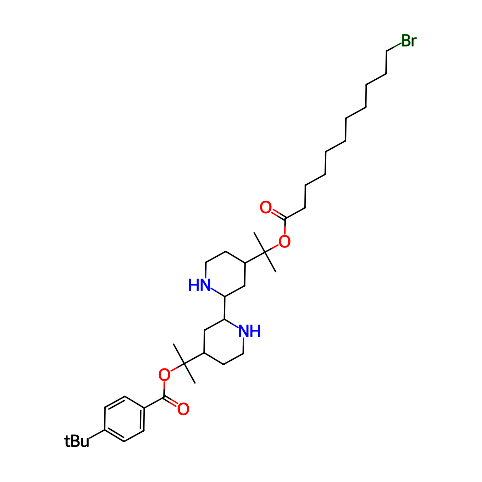 CC(C)(C)c1ccc(C(=O)OC(C)(C)C2CCNC(C3CC(C(C)(C)OC(=O)CCCCCCCCCCBr)CCN3)C2)cc1